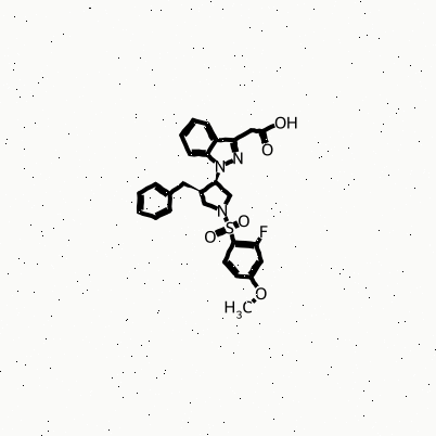 COc1ccc(S(=O)(=O)N2C[C@@H](Cc3ccccc3)[C@@H](n3nc(CC(=O)O)c4ccccc43)C2)c(F)c1